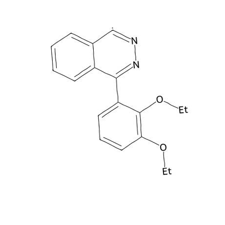 CCOc1cccc(-c2nn[c]c3ccccc23)c1OCC